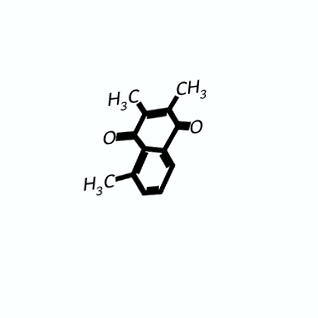 CC1=C(C)C(=O)c2c(C)cccc2C1=O